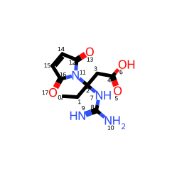 [CH2]CC(CC(=O)O)(NC(=N)N)N1C(=O)C=CC1=O